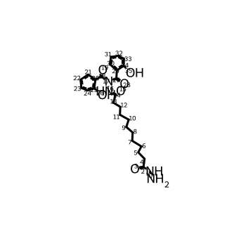 NNC(=O)CCCCCCCCCCC(=O)NN(C(=O)c1ccccc1O)C(=O)c1ccccc1O